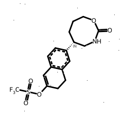 O=C1NC[C@H](c2ccc3c(c2)CCC(OS(=O)(=O)C(F)(F)F)=C3)CCCO1